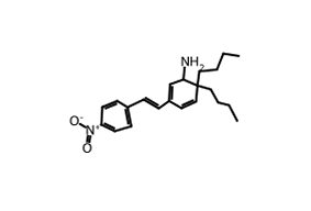 CCCCC1(CCCC)C=CC(C=Cc2ccc([N+](=O)[O-])cc2)=CC1N